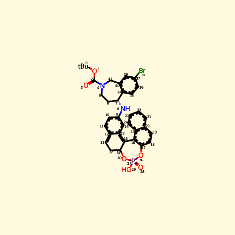 CC(C)(C)OC(=O)N1CC[C@@H](Nc2ccc3c(c2)=C2c4c(ccc5ccccc45)OP(=O)(O)OC2CC=3)c2ccc(Br)cc2C1